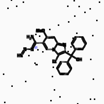 CCc1c(C(O)(c2ccccc2)c2ccccc2)nc2cc(OC)c(/C(N)=N/N=N)cn12